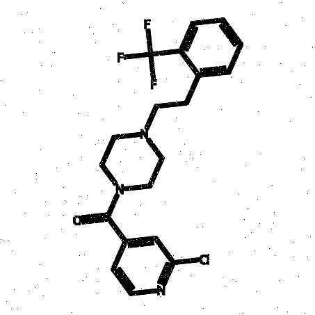 O=C(c1ccnc(Cl)c1)N1CCN(CCc2ccccc2C(F)(F)F)CC1